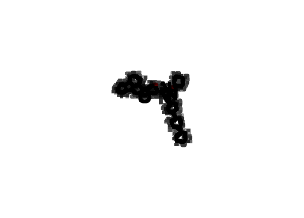 c1ccc(-c2ccc(-c3ccc(-c4nc(-c5ccccc5)nc(-c5ccc6c(c5)oc5cc7c8c(cccc8c56)-c5ccccc5-7)n4)cc3)cc2)cc1